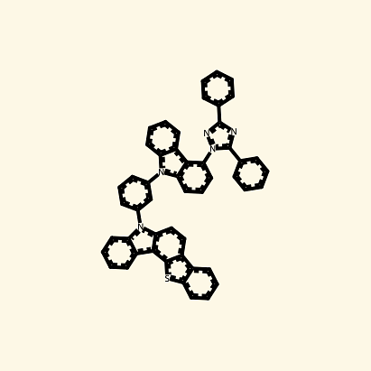 c1ccc(-c2nc(-c3ccccc3)n(-c3cccc4c3c3ccccc3n4-c3cccc(-n4c5ccccc5c5c6sc7ccccc7c6ccc54)c3)n2)cc1